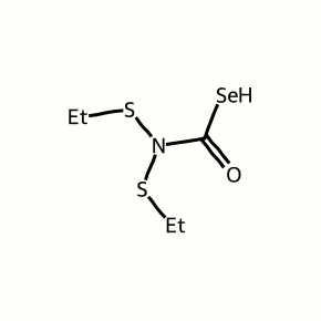 CCSN(SCC)C(=O)[SeH]